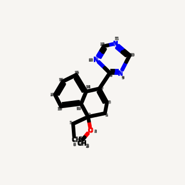 CCC1(OC)CC=C(c2ncncn2)c2ccccc21